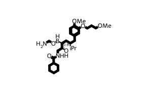 COCCCOc1cc(C[C@@H](C[C@H](BOCN)[C@@H](O)CNC(=O)C2CCCCC2)C(C)C)ccc1OC